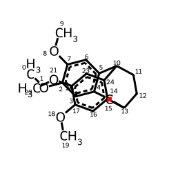 COc1cc2c(cc1OC)C1CCC(C2)c2cc(OC)c(OC)cc21